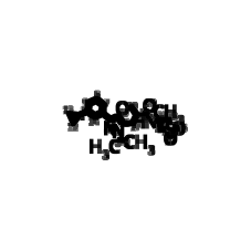 CC(C)n1nc(-c2cccc(C3CC3)c2)c2c1C[C@H](C(=O)NC1(C)CS(=O)(=O)C1)CO2